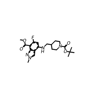 COC(=O)c1c(F)cc(NCC2CCN(C(=O)OC(C)(C)C)CC2)c2cn(C)nc12